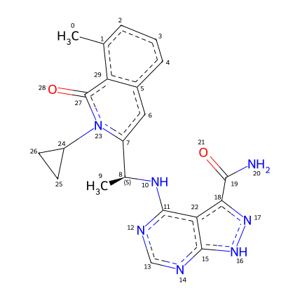 Cc1cccc2cc([C@H](C)Nc3ncnc4[nH]nc(C(N)=O)c34)n(C3CC3)c(=O)c12